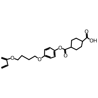 C=CC(=C)OCCCCOc1ccc(OC(=O)C2CCC(C(=O)O)CC2)cc1